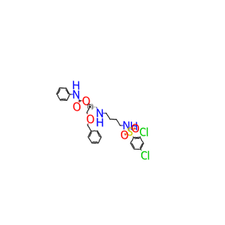 O=C(Nc1ccccc1)O[C@H](CNCCCCNS(=O)(=O)c1ccc(Cl)cc1Cl)COCc1ccccc1